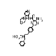 Nc1ncc(-c2ccc(CCN(Cc3ccccc3)C(=O)O)cc2)nc1C(=O)Nc1cnccc1N1CCOCC1